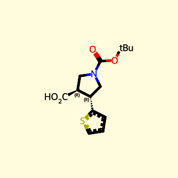 CC(C)(C)OC(=O)N1C[C@H](C(=O)O)[C@@H](c2cccs2)C1